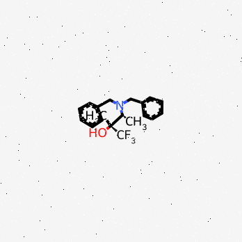 C[C@@H](N(Cc1ccccc1)Cc1ccccc1)[C@@](C)(O)C(F)(F)F